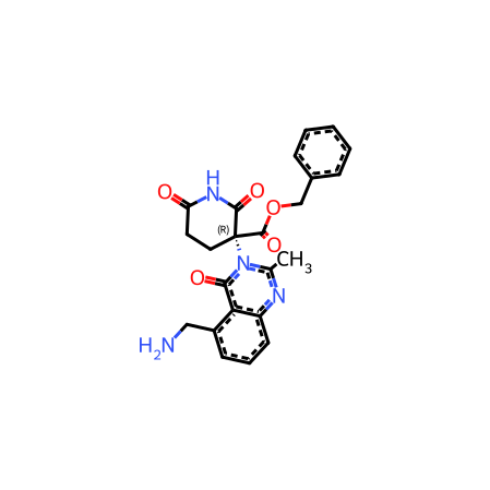 Cc1nc2cccc(CN)c2c(=O)n1[C@]1(C(=O)OCc2ccccc2)CCC(=O)NC1=O